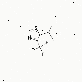 CC(C)c1scnc1C(F)(F)F